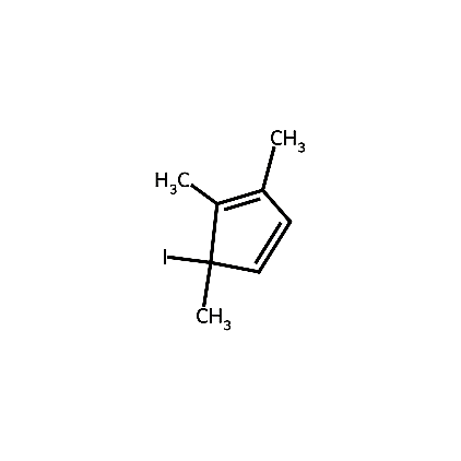 CC1=C(C)C(C)(I)C=C1